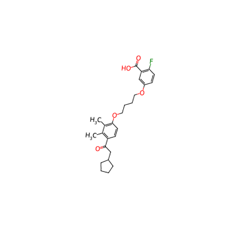 Cc1c(OCCCCOc2ccc(F)c(C(=O)O)c2)ccc(C(=O)CC2CCCC2)c1C